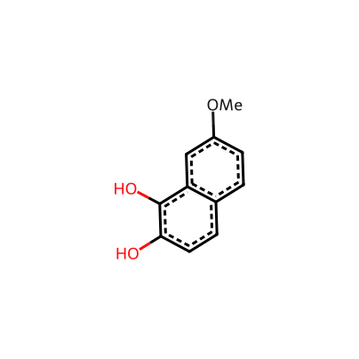 COc1ccc2ccc(O)c(O)c2c1